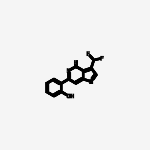 Oc1ccccc1-c1cc2ncc(C(F)F)c-2[nH]n1